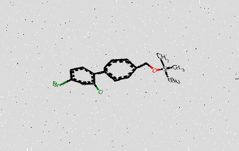 CC(C)(C)[Si](C)(C)OCc1ccc(-c2ccc(Br)cc2Cl)cc1